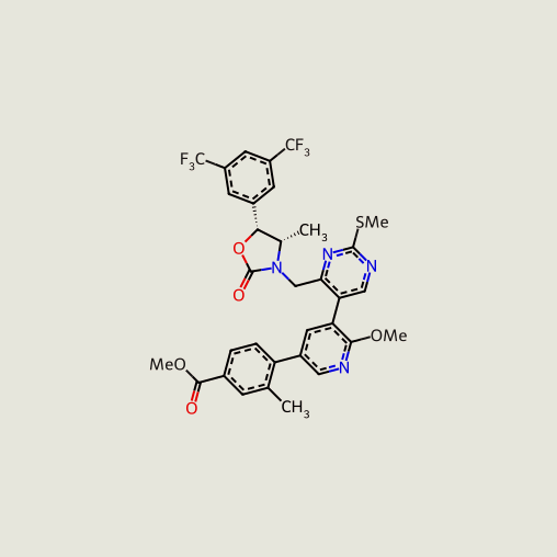 COC(=O)c1ccc(-c2cnc(OC)c(-c3cnc(SC)nc3CN3C(=O)O[C@H](c4cc(C(F)(F)F)cc(C(F)(F)F)c4)[C@@H]3C)c2)c(C)c1